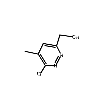 Cc1cc(CO)nnc1Cl